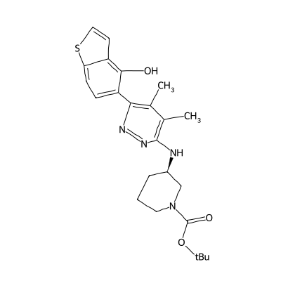 Cc1c(N[C@@H]2CCCN(C(=O)OC(C)(C)C)C2)nnc(-c2ccc3sccc3c2O)c1C